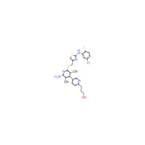 N#Cc1c(N)nc(SCc2csc(Nc3cc(Cl)ccc3F)n2)c(C#N)c1-c1ccc(CCCO)nc1